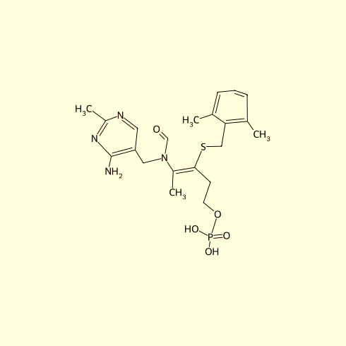 C/C(=C(\CCOP(=O)(O)O)SCc1c(C)cccc1C)N(C=O)Cc1cnc(C)nc1N